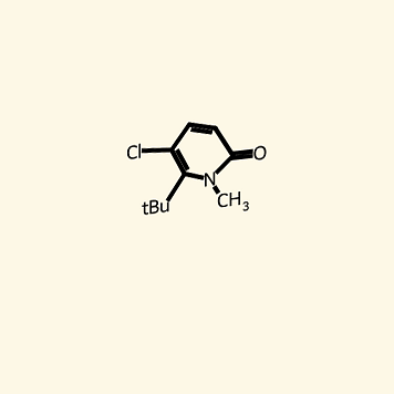 Cn1c(C(C)(C)C)c(Cl)ccc1=O